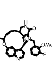 COc1c(F)cccc1Cn1c2nc3c1C(=O)NCC3C/C=C\C(C)Oc1ccc3nccc-2c3c1